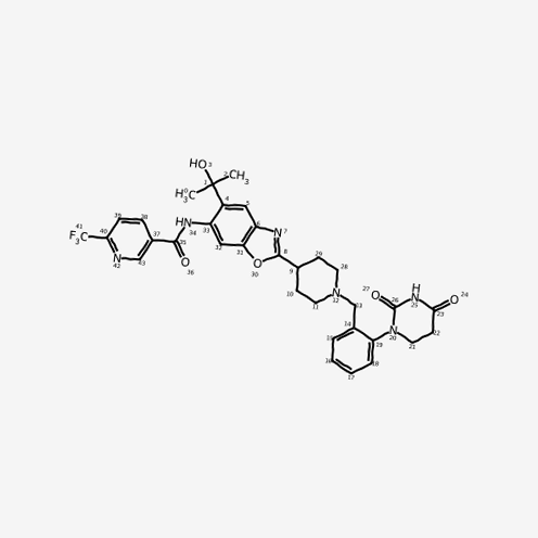 CC(C)(O)c1cc2nc(C3CCN(Cc4ccccc4N4CCC(=O)NC4=O)CC3)oc2cc1NC(=O)c1ccc(C(F)(F)F)nc1